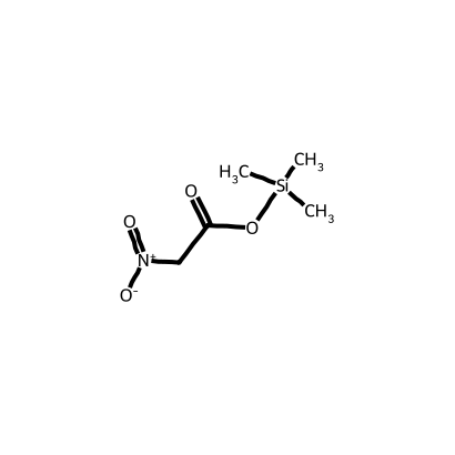 C[Si](C)(C)OC(=O)C[N+](=O)[O-]